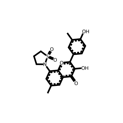 Cc1cc(N2CCCS2(=O)=O)c2oc(-c3ccc(O)c(C)c3)c(O)c(=O)c2c1